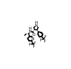 CC[C@H](NC(=O)[C@@H]1CNC[C@H]1c1ccc(C(F)(F)F)cc1)c1ccc(C(F)(F)F)nc1